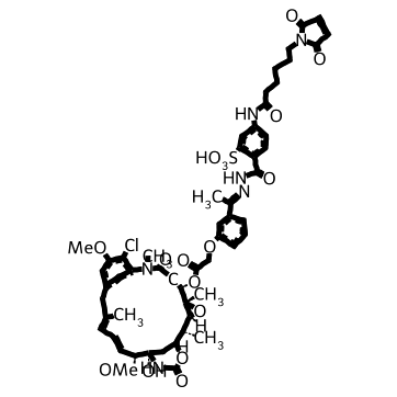 COc1cc2cc(c1Cl)N(C)C(=O)C[C@H](OC(=O)COc1cccc(/C(C)=N/NC(=O)c3ccc(NC(=O)CCCCCN4C(=O)C=CC4=O)cc3S(=O)(=O)O)c1)[C@]1(C)O[C@H]1[C@H](C)[C@@H]1C[C@@](O)(NC(=O)O1)[C@H](OC)/C=C/C=C(\C)C2